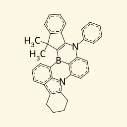 CC1(C)C2=C(c3ccccc31)N(c1ccccc1)c1cccc3c1B2c1cccc2c4c(n-3c12)CCCC4